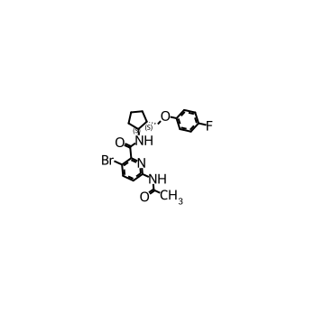 CC(=O)Nc1ccc(Br)c(C(=O)N[C@H]2CCC[C@@H]2COc2ccc(F)cc2)n1